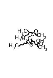 C=CC(=O)OCC(CC)CCCC.CC=C(CC=C(CC)C(=O)OCCCCCC)C(=O)O